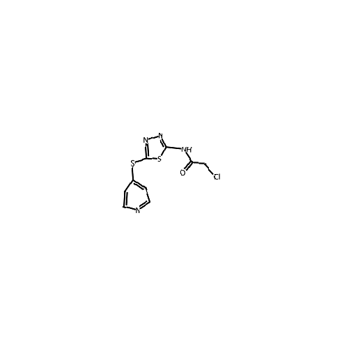 O=C(CCl)Nc1nnc(Sc2ccncc2)s1